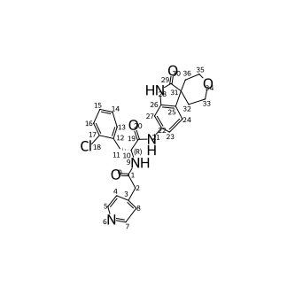 O=C(Cc1ccncc1)N[C@H](Cc1ccccc1Cl)C(=O)Nc1ccc2c(c1)NC(=O)C21CCOCC1